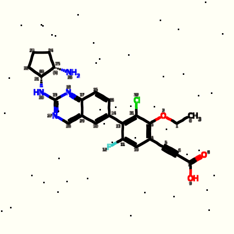 CCOc1c(C#CC(=O)O)cc(F)c(-c2ccc3nc(N[C@@H]4CCC[C@@H]4N)ncc3c2)c1Cl